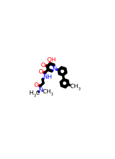 Cc1cccc(-c2cccc(-n3cc(O)c(=O)c(C(=O)NCCC(=O)N(C)C)c3)c2)c1